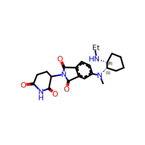 CCN[C@@H]1CCCC[C@@H]1N(C)c1ccc2c(c1)C(=O)N(C1CCC(=O)NC1=O)C2=O